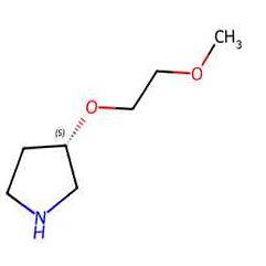 COCCO[C@H]1CCNC1